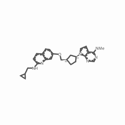 CNc1ncnc2c1ccn2[C@H]1CC[C@@H](COc2ccc3ccc(NCC4CC4)nc3c2)C1